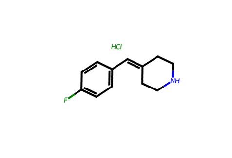 Cl.Fc1ccc(C=C2CCNCC2)cc1